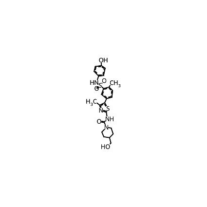 Cc1ccc(-c2sc(NC(=O)N3CCC(CO)CC3)nc2C)cc1S(=O)(=O)Nc1ccc(O)cc1